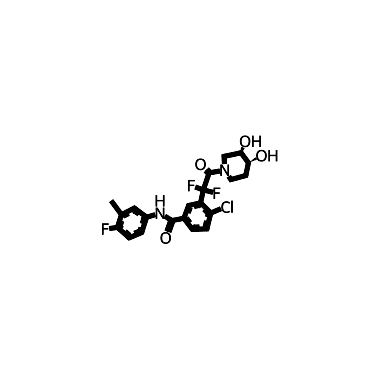 Cc1cc(NC(=O)c2ccc(Cl)c(C(F)(F)C(=O)N3CC[C@@H](O)[C@H](O)C3)c2)ccc1F